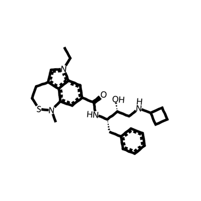 CCn1cc2c3c(cc(C(=O)N[C@@H](Cc4ccccc4)[C@H](O)CNC4CCC4)cc31)N(C)SCC2